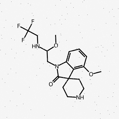 COc1cccc2c1C1(CCNCC1)C(=O)N2CC(NCC(F)(F)F)OC